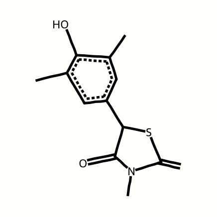 C=C1SC(c2cc(C)c(O)c(C)c2)C(=O)N1C